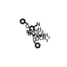 CC(C)(N)C(=O)N[C@H](COCc1ccccc1)c1nnc2c(OCc3ccccc3)cc(C#N)cn12